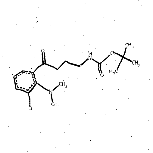 CN(C)c1c(Cl)cccc1C(=O)CCCNC(=O)OC(C)(C)C